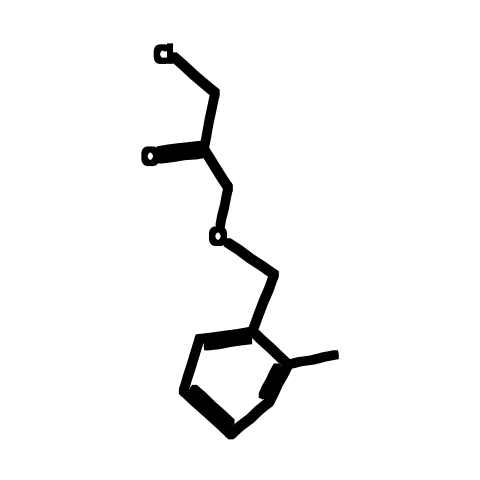 Cc1ccccc1COCC(=O)CCl